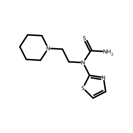 NC(=S)N(CCN1CCCCC1)c1nccs1